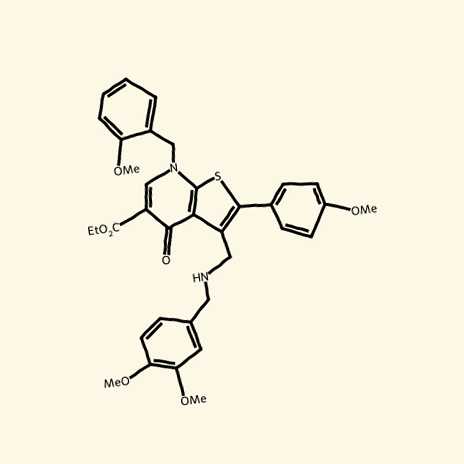 CCOC(=O)c1cn(Cc2ccccc2OC)c2sc(-c3ccc(OC)cc3)c(CNCc3ccc(OC)c(OC)c3)c2c1=O